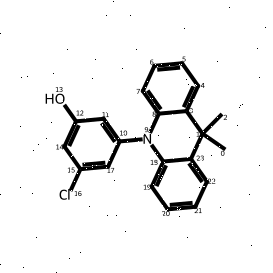 CC1(C)c2ccccc2N(c2cc(O)cc(Cl)c2)c2ccccc21